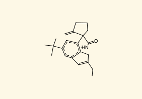 C=C1CCCC1(C([NH])=O)c1cc(C(C)(C)C)cc2c1CC(CC)=C2